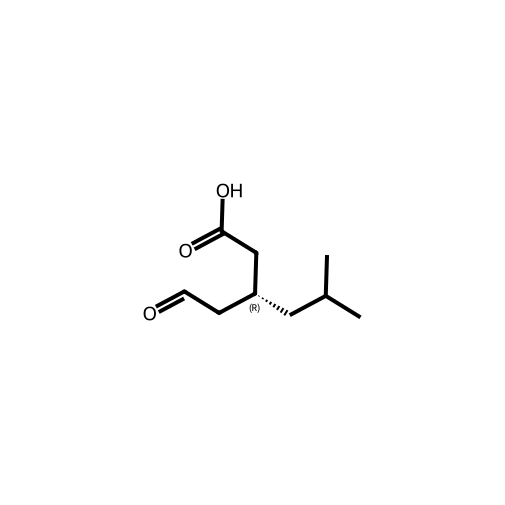 CC(C)C[C@H](CC=O)CC(=O)O